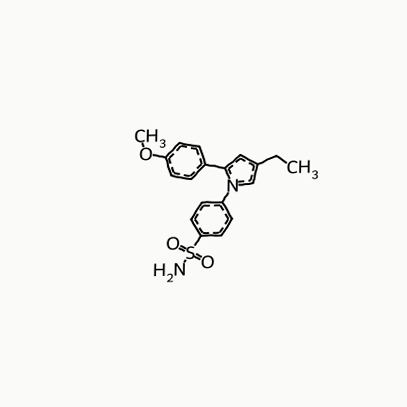 CCc1cc(-c2ccc(OC)cc2)n(-c2ccc(S(N)(=O)=O)cc2)c1